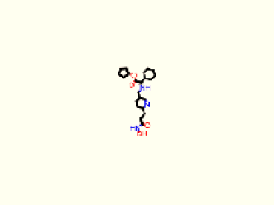 O=C(CCc1ccc(CN[C@H](C(=O)OC2CCCC2)C2CCCCC2)cn1)NO